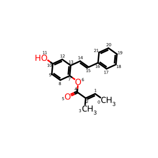 CC=C(C)C(=O)Oc1ccc(O)cc1C=Cc1ccccc1